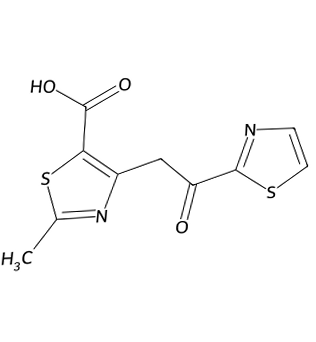 Cc1nc(CC(=O)c2nccs2)c(C(=O)O)s1